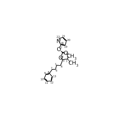 CC(C)C(CCCCc1ccccc1)OC(=O)Oc1ccccn1